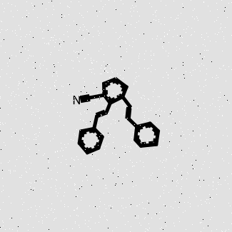 N#Cc1cccc(/C=C/c2ccccc2)c1/C=C/c1ccccc1